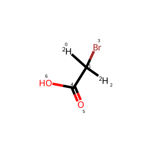 [2H]C([2H])(Br)C(=O)O